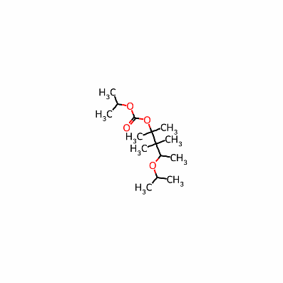 CC(C)OC(=O)OC(C)(C)C(C)(C)C(C)OC(C)C